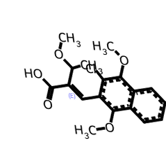 COc1c(Cl)c(/C=C(/C(=O)O)C(C)OC)c(OC)c2ccccc12